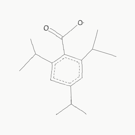 CC(C)c1cc(C(C)C)c(C([O])=O)c(C(C)C)c1